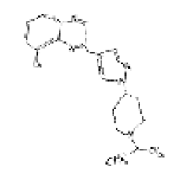 CC(C=O)N1CCC(n2cc(-c3cnc4cccc(Br)c4n3)cn2)CC1